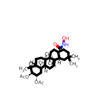 CC(=O)O[C@H]1C[C@]2(C)[C@H]3CC=C4[C@@H]5CC(C)(C)CC[C@]5(C(=O)NO)CC[C@@]4(C)[C@]3(C)CC[C@H]2C(C)(C)[C@@H]1OC(C)=O